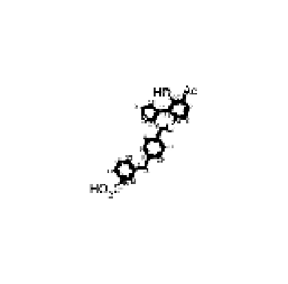 CC(=O)c1ccc(OCc2ccc(Cc3cccc(C(=O)O)c3)cc2)c(C2=CSCC2)c1O